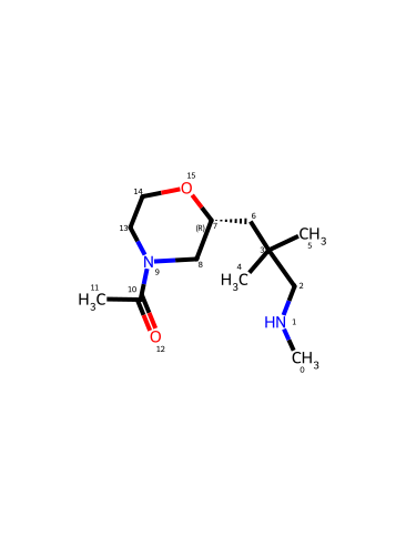 CNCC(C)(C)C[C@@H]1CN(C(C)=O)CCO1